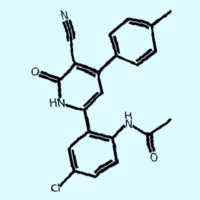 CC(=O)Nc1ccc(Cl)cc1-c1cc(-c2ccc(C)cc2)c(C#N)c(=O)[nH]1